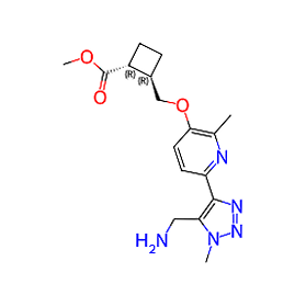 COC(=O)[C@@H]1CC[C@H]1COc1ccc(-c2nnn(C)c2CN)nc1C